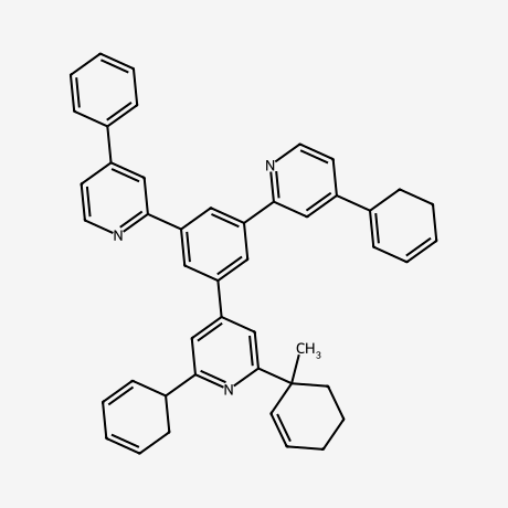 CC1(c2cc(-c3cc(-c4cc(C5=CC=CCC5)ccn4)cc(-c4cc(-c5ccccc5)ccn4)c3)cc(C3C=CC=CC3)n2)C=CCCC1